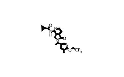 Cc1cc(C(C)N2Cc3c(ccnc3NC(=O)C3CC3)C2=O)cnc1OCC(F)(F)F